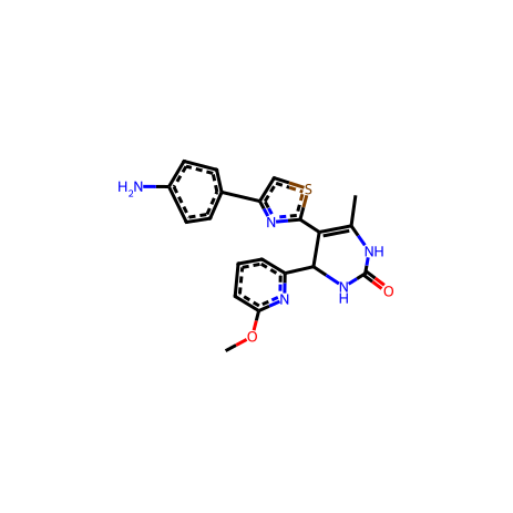 COc1cccc(C2NC(=O)NC(C)=C2c2nc(-c3ccc(N)cc3)cs2)n1